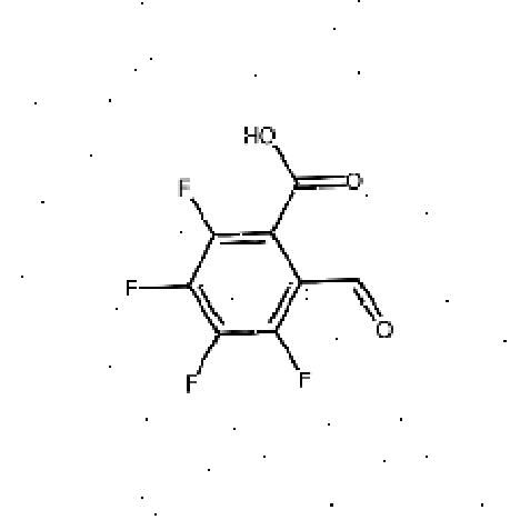 O=Cc1c(F)c(F)c(F)c(F)c1C(=O)O